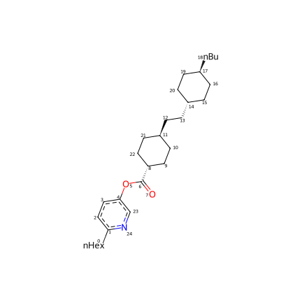 CCCCCCc1ccc(OC(=O)[C@H]2CC[C@H](CC[C@H]3CC[C@H](CCCC)CC3)CC2)cn1